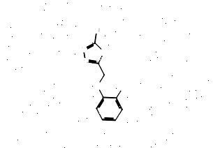 Nc1nnc(COc2ccccc2C(F)(F)F)s1